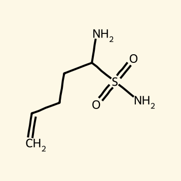 C=CCCC(N)S(N)(=O)=O